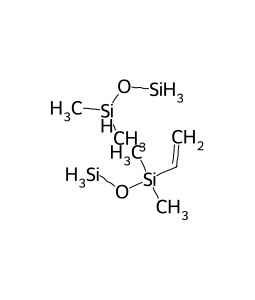 C=C[Si](C)(C)O[SiH3].C[SiH](C)O[SiH3]